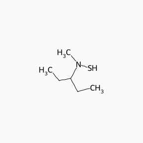 CCC(CC)N(C)S